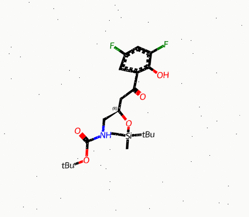 CC(C)(C)OC(=O)NC[C@@H](CC(=O)c1cc(F)cc(F)c1O)O[Si](C)(C)C(C)(C)C